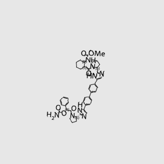 COC(=O)N[C@@H]1CCCC[C@@H]1C(=O)N1CCC[C@H]1c1ncc(-c2ccc(-c3ccc(-c4cnc([C@@H]5CCCN5C(=O)[C@H](OC(N)=O)c5ccccc5)[nH]4)cc3)cc2)[nH]1